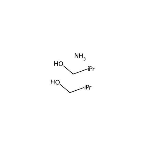 CC(C)CO.CC(C)CO.N